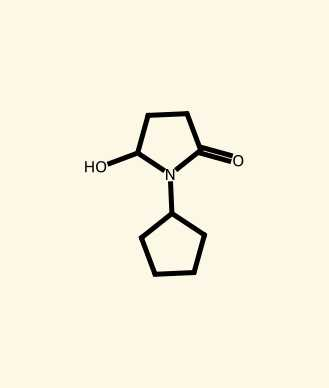 O=C1CCC(O)N1C1CCCC1